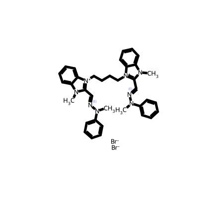 CN(/N=C/c1n(C)c2ccccc2[n+]1CCCC[n+]1c(/C=N/N(C)c2ccccc2)n(C)c2ccccc21)c1ccccc1.[Br-].[Br-]